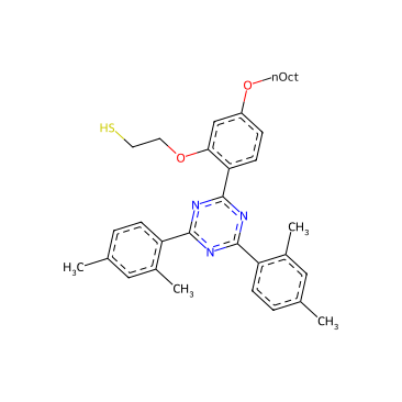 CCCCCCCCOc1ccc(-c2nc(-c3ccc(C)cc3C)nc(-c3ccc(C)cc3C)n2)c(OCCS)c1